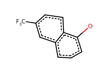 [O]c1cccc2cc(C(F)(F)F)ccc12